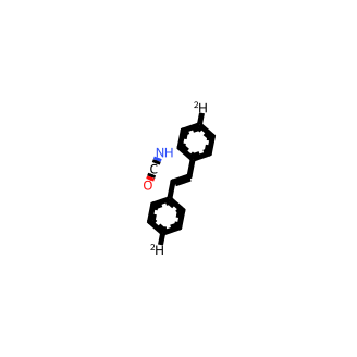 N=C=O.[2H]c1ccc(C=Cc2ccc([2H])cc2)cc1